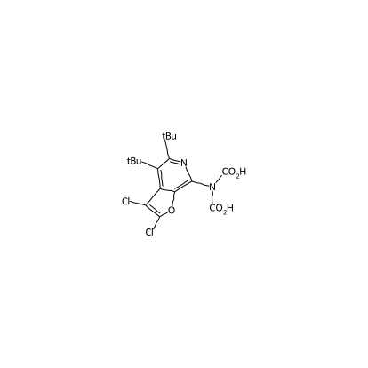 CC(C)(C)c1nc(N(C(=O)O)C(=O)O)c2oc(Cl)c(Cl)c2c1C(C)(C)C